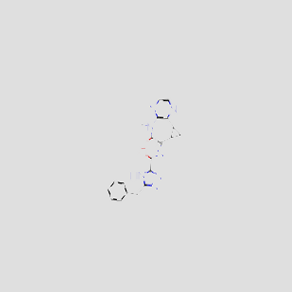 CN1C(=O)[C@@H](NC(=O)c2nnc(Cc3ccccc3)[nH]2)C2CC2c2nccnc21